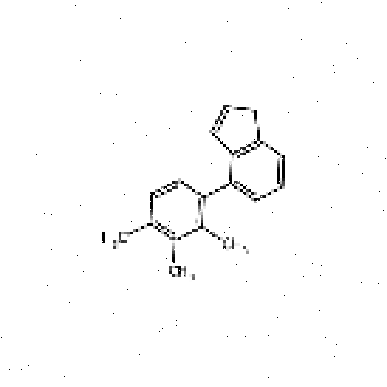 Cc1ccc(-c2cccc3c2C=CC3)c(C)c1C